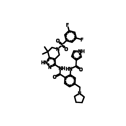 CC1(C)CN(S(=O)(=O)c2cc(F)cc(F)c2)Cc2c(NC(=O)c3ccc(CN4CCCC4)cc3NC(=O)c3cc[nH]c3)n[nH]c21